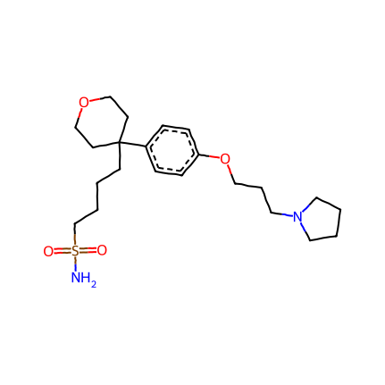 NS(=O)(=O)CCCCC1(c2ccc(OCCCN3CCCC3)cc2)CCOCC1